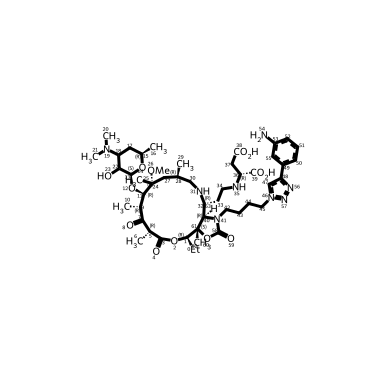 CC[C@H]1OC(=O)[C@H](C)C(=O)[C@H](C)[C@@H](O[C@@H]2O[C@H](C)CC(N(C)C)C2O)[C@](C)(OC)C[C@@H](C)CN[C@H](CCN[C@H](CC(=O)O)C(=O)O)[C@H]2N(CCCCn3cc(-c4cccc(N)c4)nn3)C(=O)O[C@]12C